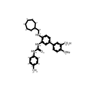 COc1ccc(-c2ccc(NCC3CCCCCC3)c(NC(=O)Nc3ccc(C)cc3)c2)cc1C(=O)O